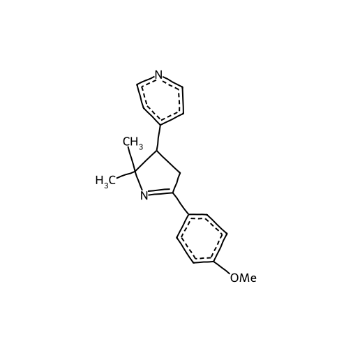 COc1ccc(C2=NC(C)(C)C(c3ccncc3)C2)cc1